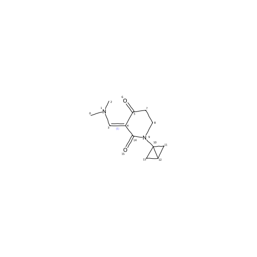 CN(C)/C=C1\C(=O)CCN(C23CC2C3)C1=O